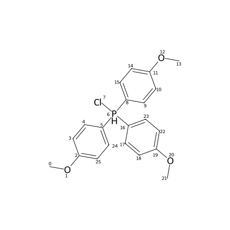 COc1ccc([PH](Cl)(c2ccc(OC)cc2)c2ccc(OC)cc2)cc1